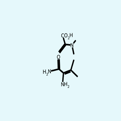 C=C(C(=O)O)N(C)C.CC(C)=C(N)C(N)=O